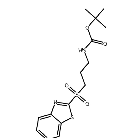 CC(C)(C)OC(=O)NCCCS(=O)(=O)c1nc2ccccc2s1